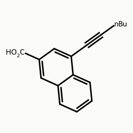 CCCCC#Cc1cc(C(=O)O)cc2ccccc12